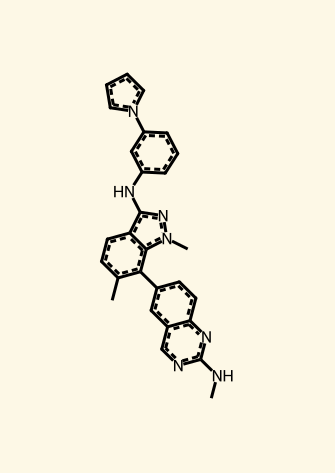 CNc1ncc2cc(-c3c(C)ccc4c(Nc5cccc(-n6cccc6)c5)nn(C)c34)ccc2n1